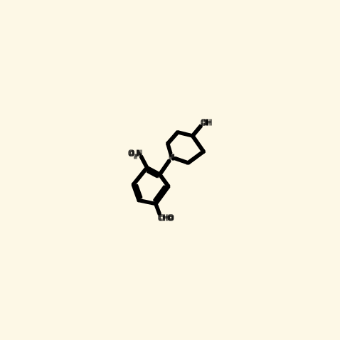 O=Cc1ccc([N+](=O)[O-])c(N2CCC(O)CC2)c1